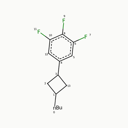 CCCCC1CC(c2cc(F)c(F)c(F)c2)C1